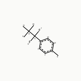 Cc1ccc(C(F)(F)C(C)(C)C)cc1